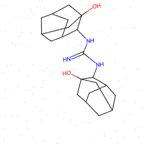 N=C(NC1C2CC3CC(C2)CC1(O)C3)NC1C2CC3CC(C2)CC1(O)C3